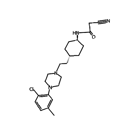 Cc1ccc(Cl)c(N2CCN(CC[C@H]3CC[C@H](NC(=O)CC#N)CC3)CC2)c1